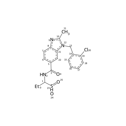 CCC(NC(=O)c1ccc2nc(C)n(Cc3ccccc3Cl)c2c1)[SH](=O)=O